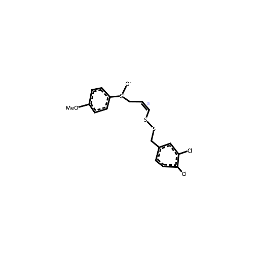 COc1ccc([S+]([O-])C/C=C\SSCc2ccc(Cl)c(Cl)c2)cc1